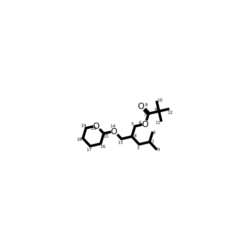 CC(C)CC(COC(=O)C(C)(C)C)COC1CCCCO1